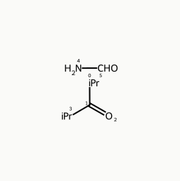 CC(C)C(=O)C(C)C.NC=O